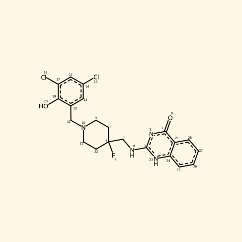 O=c1nc(NCC2(F)CCN(Cc3cc(Cl)cc(Cl)c3O)CC2)[nH]c2ccccc12